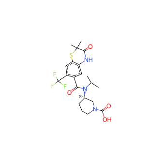 CC(C)N(C(=O)c1cc2c(cc1C(F)(F)F)SC(C)(C)C(=O)N2)[C@@H]1CCCN(C(=O)O)C1